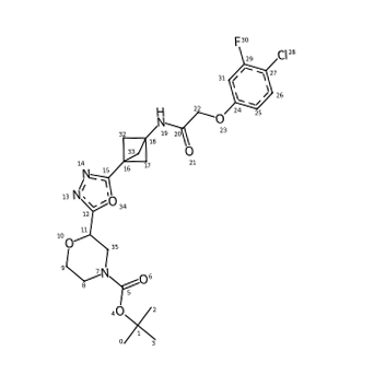 CC(C)(C)OC(=O)N1CCOC(c2nnc(C34CC(NC(=O)COc5ccc(Cl)c(F)c5)(C3)C4)o2)C1